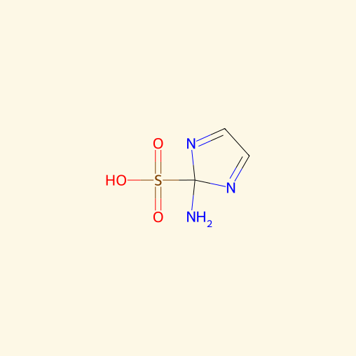 NC1(S(=O)(=O)O)N=CC=N1